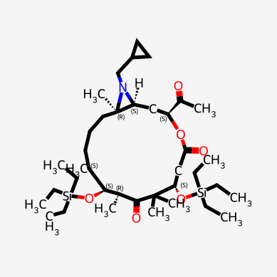 CC[Si](CC)(CC)O[C@H]1[C@@H](C)CCC[C@]2(C)[C@H](C[C@@H](C(C)=O)OC(=O)C[C@H](O[Si](CC)(CC)CC)C(C)(C)C(=O)[C@@H]1C)N2CC1CC1